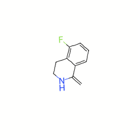 C=C1NCCc2c(F)cccc21